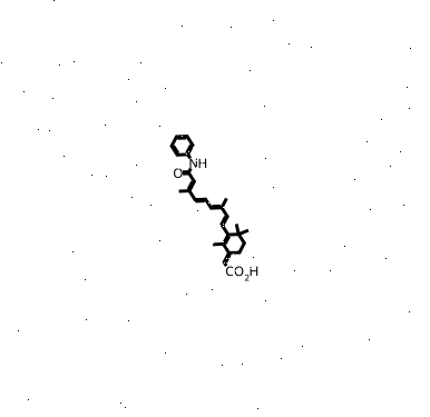 CC(C=CC1=C(C)C(=CC(=O)O)CCC1(C)C)=CC=CC(C)=CC(=O)Nc1ccccc1